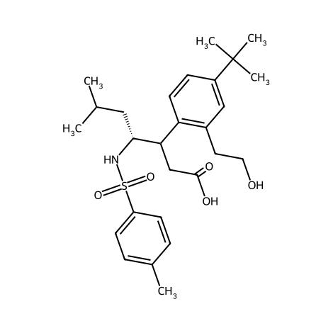 Cc1ccc(S(=O)(=O)N[C@H](CC(C)C)C(CC(=O)O)c2ccc(C(C)(C)C)cc2CCO)cc1